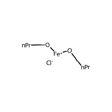 CCC[O][Fe+][O]CCC.[Cl-]